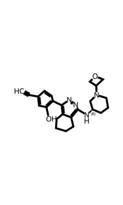 C#Cc1ccc(-c2nnc(N[C@@H]3CCCN(C4COC4)C3)c3c2CCCC3)c(O)c1